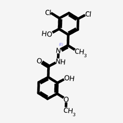 COc1cccc(C(=O)N/N=C(\C)c2cc(Cl)cc(Cl)c2O)c1O